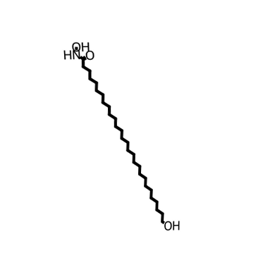 O=C(CCCCCCCCCCCCCCCCCCCCCCCCCCCO)NO